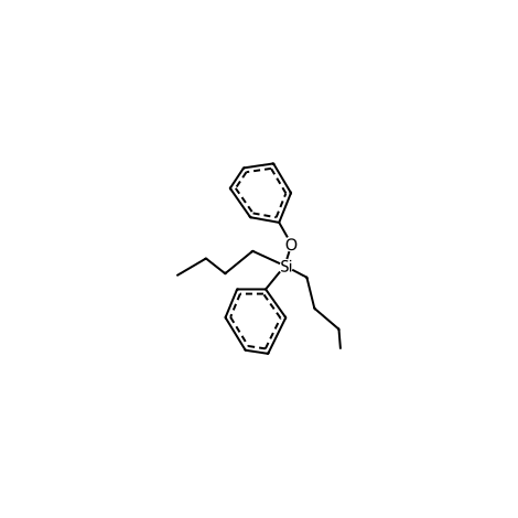 CCCC[Si](CCCC)(Oc1ccccc1)c1ccccc1